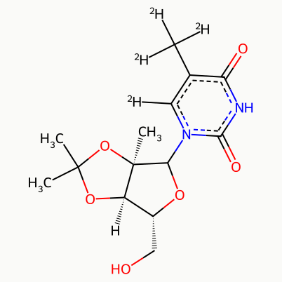 [2H]c1c(C([2H])([2H])[2H])c(=O)[nH]c(=O)n1C1O[C@H](CO)[C@H]2OC(C)(C)O[C@@]12C